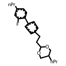 CCCc1ccc(-c2ccc(CCC3OCC(CCC)CO3)cc2)c(F)c1